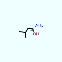 CC(C)C[C@H](N)O